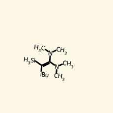 CCC(C)C([SiH3])=C(N(C)C)N(C)C